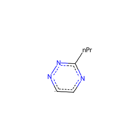 CCCc1nc[c]nn1